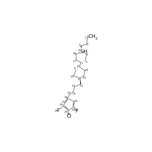 CCCC[Si@H]1CC[C@H]([C@H]2CC[C@H](CCCCc3cc(F)c(Cl)c(F)c3)CC2)CC1